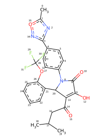 Cc1nc(-c2ccc(N3C(=O)C(O)=C(C(=O)CC(C)C)C3c3ccccc3OC(F)(F)F)cc2)no1